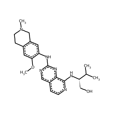 COc1cc2c(cc1Nc1ncc3ccnc(N[C@@H](CO)C(C)C)c3n1)CN(C)CC2